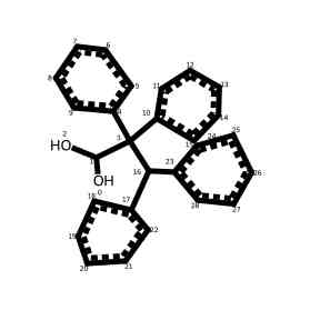 OC(O)C(c1ccccc1)(c1ccccc1)C(c1ccccc1)c1ccccc1